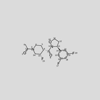 CC(=O)N1CC[C@H](C(=O)N2OCC[C@H]2c2cc(F)cc(F)c2)[C@H](F)C1